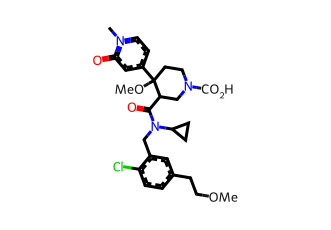 COCCc1ccc(Cl)c(CN(C(=O)C2CN(C(=O)O)CCC2(OC)c2ccn(C)c(=O)c2)C2CC2)c1